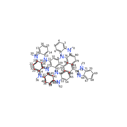 CN1c2ccccc2N(c2cc(N3c4ccccc4N(C)c4ccccc43)c(N3c4ccccc4N(C)c4ccccc43)c(N3c4ccccc4N(C)c4ccccc43)c2-c2ccc(-c3nc4ccccc4n3C)cc2)c2ccccc21